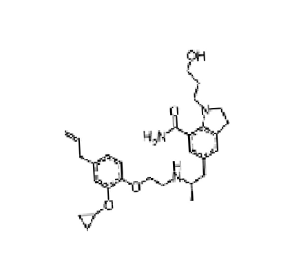 C=CCc1ccc(OCCN[C@H](C)Cc2cc3c(c(C(N)=O)c2)N(CCCO)CC3)c(OC2CC2)c1